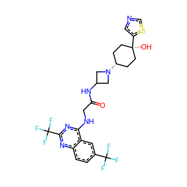 O=C(CNc1nc(C(F)(F)F)nc2ccc(C(F)(F)F)cc12)NC1CN([C@H]2CC[C@](O)(c3cncs3)CC2)C1